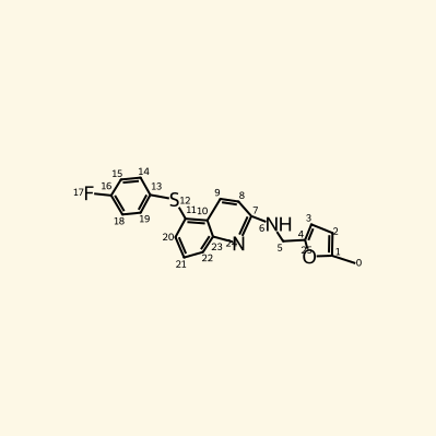 Cc1ccc(CNc2ccc3c(Sc4ccc(F)cc4)cccc3n2)o1